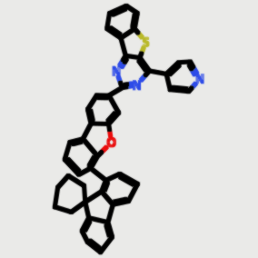 c1ccc2c(c1)-c1cccc(-c3cccc4c3oc3cc(-c5nc(-c6ccncc6)c6sc7ccccc7c6n5)ccc34)c1C21CCCCC1